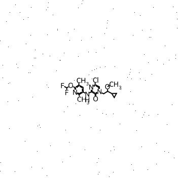 COC(Cn1cc(Cl)nc(Nc2cc(C)c(OC(F)F)nc2C)c1=O)C1CC1